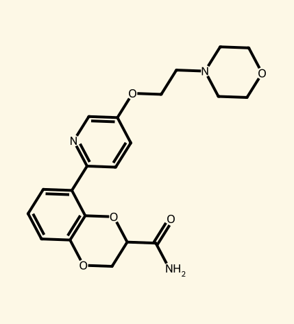 NC(=O)C1COc2cccc(-c3ccc(OCCN4CCOCC4)cn3)c2O1